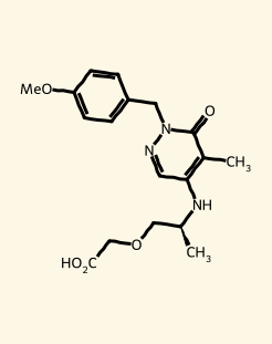 COc1ccc(Cn2ncc(N[C@@H](C)COCC(=O)O)c(C)c2=O)cc1